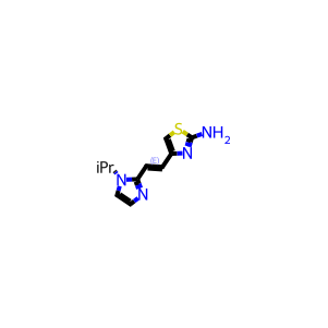 CC(C)n1ccnc1/C=C/c1csc(N)n1